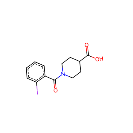 O=C(O)C1CCN(C(=O)c2ccccc2I)CC1